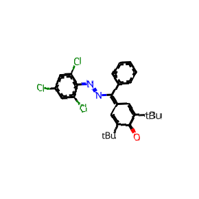 CC(C)(C)C1=CC(=C(N=Nc2c(Cl)cc(Cl)cc2Cl)c2ccccc2)C=C(C(C)(C)C)C1=O